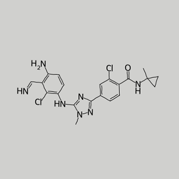 Cn1nc(-c2ccc(C(=O)NC3(C)CC3)c(Cl)c2)nc1Nc1ccc(N)c(C=N)c1Cl